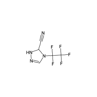 N#CC1NN=CN1C(F)(F)C(F)(F)F